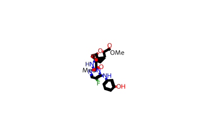 COC(=O)C1Oc2c3c(Nc4ncc(F)c(Nc5cccc(O)c5)n4)cc1c2C(C(=O)OC)O3